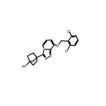 OC12CCC(c3nnc4c(OCc5c(Cl)cccc5Cl)cccn34)(CC1)C2